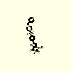 CCCn1c(=O)n(C)c(=O)c2[nH]c(-c3ccc(S(=O)(=O)N4CCN(Cc5ccncc5)CC4)cc3)cc21